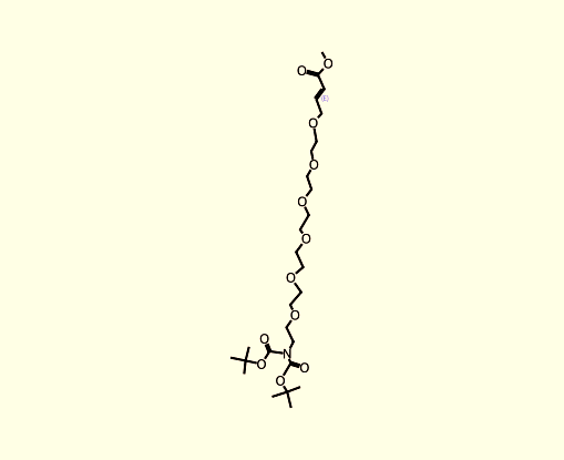 COC(=O)/C=C/COCCOCCOCCOCCOCCOCCN(C(=O)OC(C)(C)C)C(=O)OC(C)(C)C